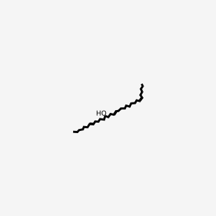 CCCCC/C=C\CCCCCCCC/C=C/CCC(O)CCCC/C=C/CCCCCC